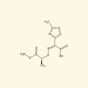 BOC(=O)[C@H](C)O/N=C(\C(=O)O)c1csc(C)n1